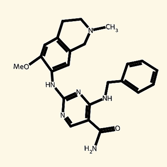 COc1cc2c(cc1Nc1ncc(C(N)=O)c(NCc3ccccc3)n1)CN(C)CC2